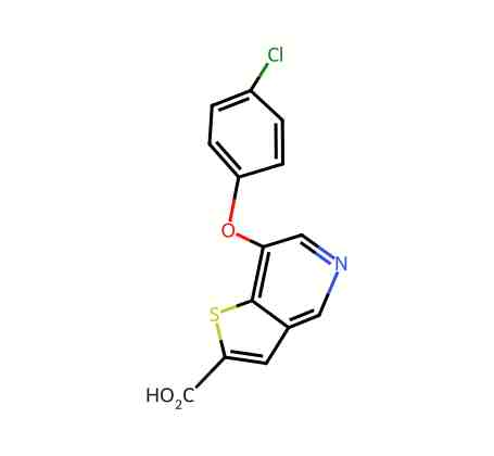 O=C(O)c1cc2cncc(Oc3ccc(Cl)cc3)c2s1